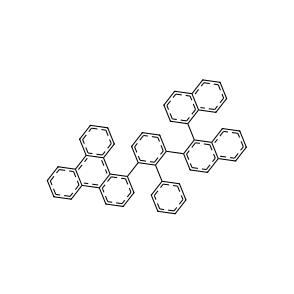 c1ccc(-c2c(-c3ccc4ccccc4c3-c3cccc4ccccc34)cccc2-c2cccc3c4ccccc4c4ccccc4c23)cc1